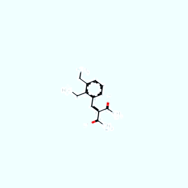 CCc1cccc(C=C(C(C)=O)C(C)=O)c1CC